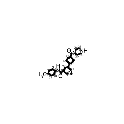 Cc1ccc(NC(=O)c2cncc(-c3ccc(C(=O)N4CCNCC4)cc3)c2)cc1